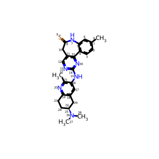 Cc1ccc2c(c1)NC(=S)Cc1cnc(Nc3cc4c(nc3C)CC[C@H](N(C)C)C4)nc1-2